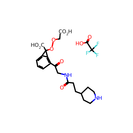 O=C(O)C(F)(F)F.O=C(O)COOC1(C(=O)O)c2cccc(C(=O)CNC(=O)CCC3CCNCC3)c21